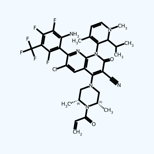 C=CC(=O)N1[C@H](C)CN(c2c(C#N)c(=O)n(C3=C(C)C=CN(C)C3C(C)C)c3nc(-c4c(N)c(F)c(F)c(C(F)(F)F)c4F)c(Cl)cc23)C[C@@H]1C